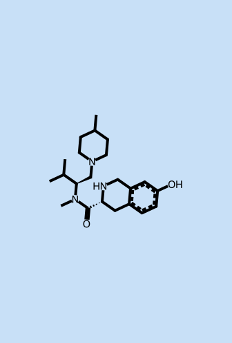 CC1CCN(C[C@H](C(C)C)N(C)C(=O)[C@H]2Cc3ccc(O)cc3CN2)CC1